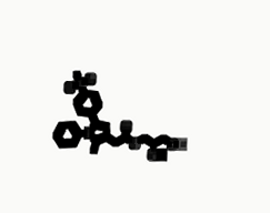 Cc1c(CC(=O)OC[C@H](O)CO)cc(-c2ccc(S(C)(=O)=O)cc2)n1-c1ccccc1